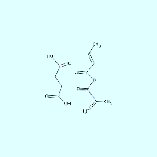 C=C(C)C(=O)OC(=O)C=CC.O=C(O)CCC(=O)O